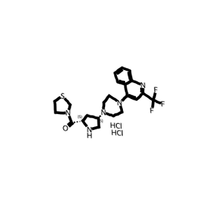 Cl.Cl.O=C([C@@H]1C[C@H](N2CCN(c3cc(C(F)(F)F)nc4ccccc34)CC2)CN1)N1CCSC1